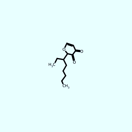 CCCCCC(CC)C1OC=CC(=O)C1=O